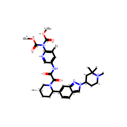 CCc1cc(NC(=O)C(=O)N2C[C@@H](C)CCC2c2ccc3cn(C4CCN(C)C(C)(C)C4)nc3c2)cnc1N(C(=O)OC(C)(C)C)C(=O)OC(C)(C)C